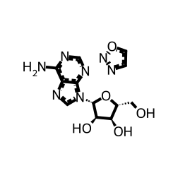 Nc1ncnc2c1ncn2[C@@H]1O[C@H](CO)[C@@H](O)[C@H]1O.c1conn1